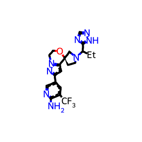 CCC(c1ncn[nH]1)N1CC[C@]2(C1)OCCn1nc(-c3cnc(N)c(C(F)(F)F)c3)cc12